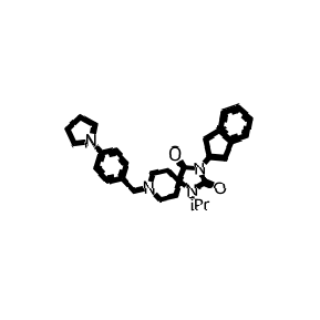 CC(C)N1C(=O)N(C2Cc3ccccc3C2)C(=O)C12CCN(Cc1ccc(N3CCCC3)cc1)CC2